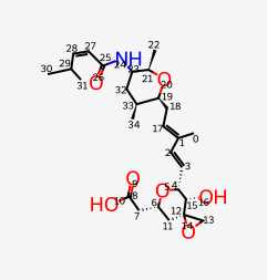 CC(/C=C/[C@H]1O[C@@H](CC(=O)O)C[C@@]2(CO2)[C@H]1O)=C\C[C@@H]1O[C@H](C)[C@H](NC(=O)/C=C\C(C)C)C[C@@H]1C